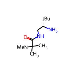 CNC(C)(C)C(=O)NC[C@@H](N)C(C)(C)C